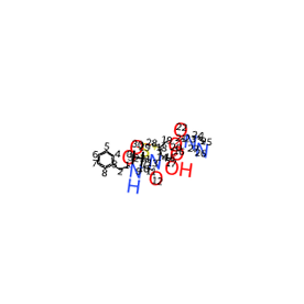 O=C(Cc1ccccc1)NC1C(=O)N2C(C(=O)O)=C(COC(=O)n3ccnc3)C[S+]([O-])[C@@H]12